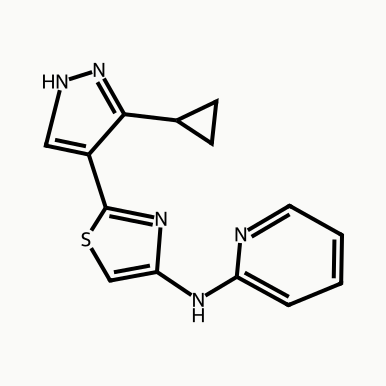 c1ccc(Nc2csc(-c3c[nH]nc3C3CC3)n2)nc1